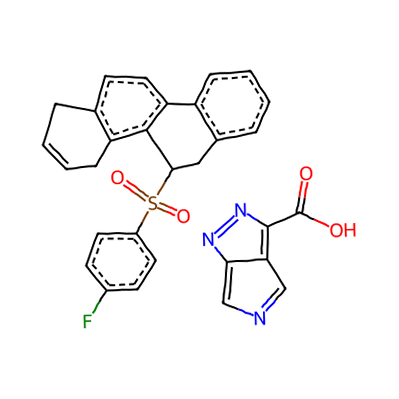 O=C(O)C1=C2C=NC=C2N=N1.O=S(=O)(c1ccc(F)cc1)C1Cc2ccccc2-c2ccc3c(c21)CC=CC3